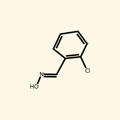 ON=Cc1ccc[c]c1Cl